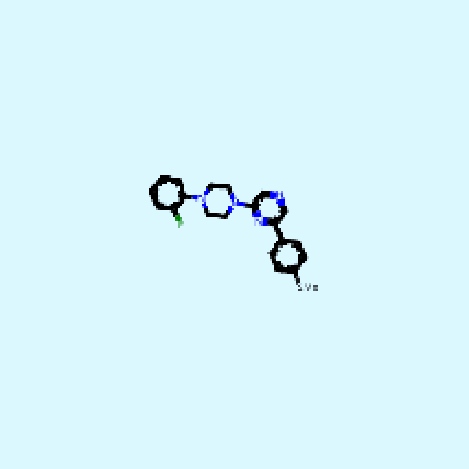 CSc1ccc(-c2cncc(N3CCN(c4ccccc4F)CC3)n2)cc1